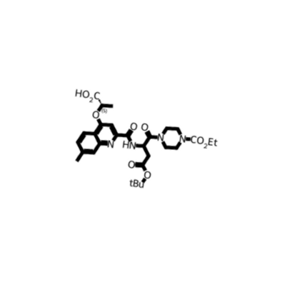 CCOC(=O)N1CCN(C(=O)C(CC(=O)OC(C)(C)C)NC(=O)c2cc(O[C@@H](C)C(=O)O)c3ccc(C)cc3n2)CC1